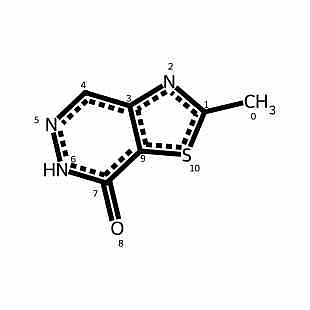 Cc1nc2cn[nH]c(=O)c2s1